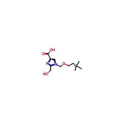 C[Si](C)(C)CCOCn1cc(C(=O)O)nc1CO